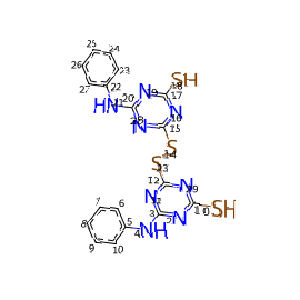 Sc1nc(Nc2ccccc2)nc(SSc2nc(S)nc(Nc3ccccc3)n2)n1